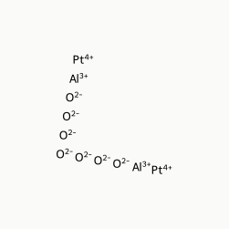 [Al+3].[Al+3].[O-2].[O-2].[O-2].[O-2].[O-2].[O-2].[O-2].[Pt+4].[Pt+4]